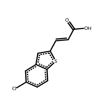 O=C(O)C=Cc1cc2cc(Cl)ccc2s1